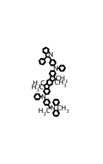 C=C(c1ccc(N(c2ccccc2)c2ccc3c(c2)C(C)(C)c2cc4c(cc2-3)C(C)(C)c2cc(N(c3ccccc3)c3ccc(C5=Nc6ccccc6C5c5ccccc5)cc3)ccc2-4)cc1)N(c1ccccc1)c1ccccc1C